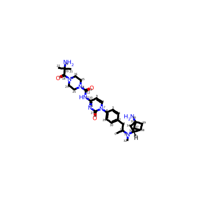 CC(Cc1ccc(-n2ccc(NC(=O)N3CCN(C(=O)C(C)(C)N)CC3)nc2=O)cc1)N(C)[C@@H]1CC2(N)CC1C2